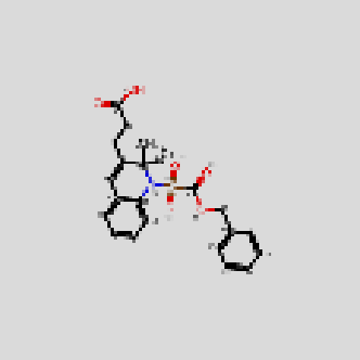 CC1(C)C(CCC(=O)O)=Cc2ccccc2N1S(=O)(=O)C(=O)OCc1ccccc1